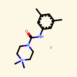 Cc1cc(C)cc(NC(=O)N2CC[N+](C)(C)CC2)c1.[I-]